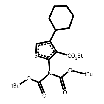 CCOC(=O)c1c(C2CCCCC2)csc1N(C(=O)OC(C)(C)C)C(=O)OC(C)(C)C